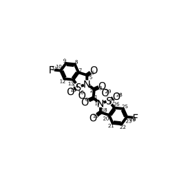 O=C(C(=O)N1C(=O)c2ccc(F)cc2S1(=O)=O)N1C(=O)c2ccc(F)cc2S1(=O)=O